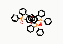 O=P(c1ccccc1)(c1ccccc1)c1ccccc1-c1cc(-c2ccccc2P(=O)(c2ccccc2)c2ccccc2)cc(-c2ccccc2P(=O)(c2ccccc2)c2ccccc2)c1